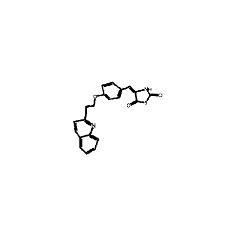 O=C1NC(=Cc2ccc(OCCc3ccc4ccccc4n3)cc2)C(=O)S1